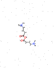 CN(C)CCCC(=O)OC(=O)CCCN(C)C